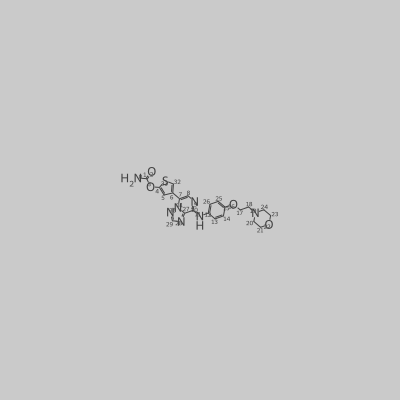 NC(=O)Oc1cc(-c2cnc(Nc3ccc(OCCN4CCOCC4)cc3)c3ncnn23)cs1